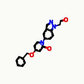 O=CCn1ncc2cc(-n3ccc(OCc4ccccc4)cc3=O)ccc21